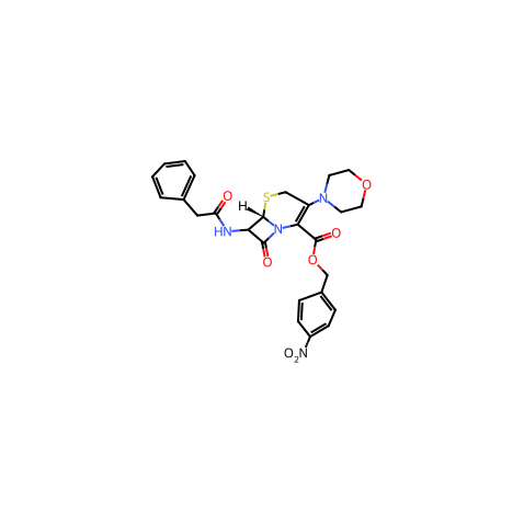 O=C(Cc1ccccc1)NC1C(=O)N2C(C(=O)OCc3ccc([N+](=O)[O-])cc3)=C(N3CCOCC3)CS[C@@H]12